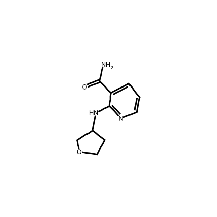 NC(=O)c1cccnc1NC1CCOC1